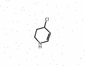 ClC1C=CNCC1